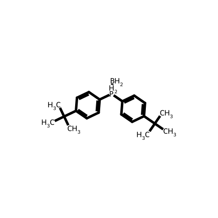 B[PH2](c1ccc(C(C)(C)C)cc1)c1ccc(C(C)(C)C)cc1